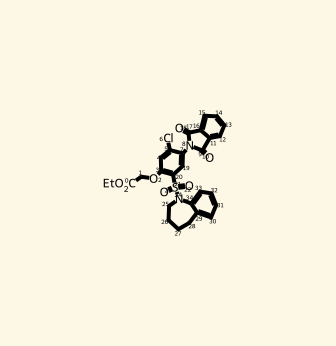 CCOC(=O)COc1cc(Cl)c(N2C(=O)c3ccccc3C2=O)cc1S(=O)(=O)N1CCCCc2ccccc21